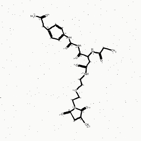 CCC(=O)NC(CC(=O)NCCOCCN1C(=O)CC(C)C1=O)C(=O)NC(=O)Nc1ccc(CC(C)=O)cc1